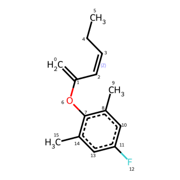 C=C(/C=C\CC)Oc1c(C)cc(F)cc1C